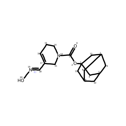 O=C(OC12CC3CC(CC(C3)C1)C2)N1CCC=C(/C=N/O)C1